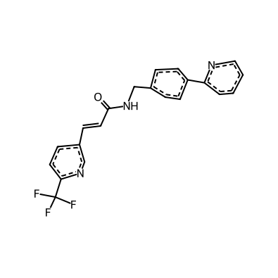 O=C(C=Cc1ccc(C(F)(F)F)nc1)NCc1ccc(-c2ccccn2)cc1